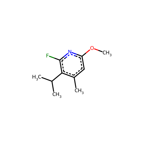 COc1cc(C)c(C(C)C)c(F)n1